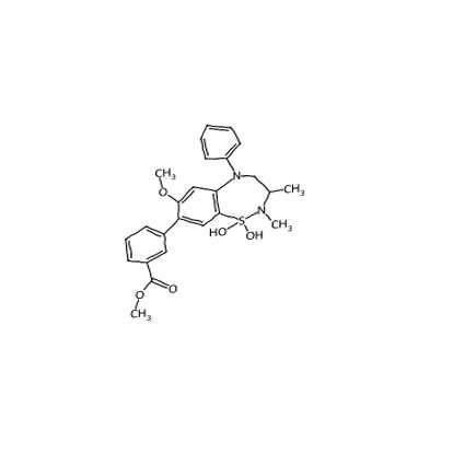 COC(=O)c1cccc(-c2cc3c(cc2OC)N(c2ccccc2)CC(C)N(C)S3(O)O)c1